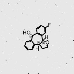 O[C@H]1c2ccccc2[C@H]2CCO[C@H]2c2cc(F)ccc21